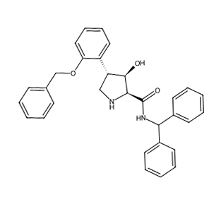 O=C(NC(c1ccccc1)c1ccccc1)[C@H]1NC[C@H](c2ccccc2OCc2ccccc2)[C@H]1O